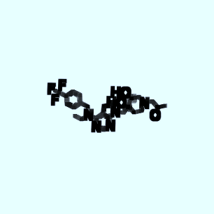 CCN(Cc1ccc(C(F)(F)F)cc1)c1ncnc2c1ccn2C[C@]1(O)CCN(CC(C)=O)C[C@H]1O